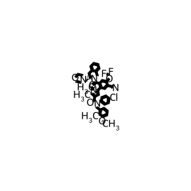 COc1cccc(CN(C(=O)c2cc(-c3cc(C#N)c(OC(F)F)cc3C(=O)N3Cc4ccccc4C[C@H]3CN3CCOCC3)n(C)c2C)c2ccc(Cl)cc2)c1C